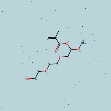 C=C(C)C(=O)OC(COCCOCCO)OCCCC